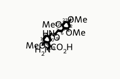 COc1cc(OC)c(C=CC(=O)Nc2ccc(OC)c(C(N)C(=O)O)c2)c(OC)c1